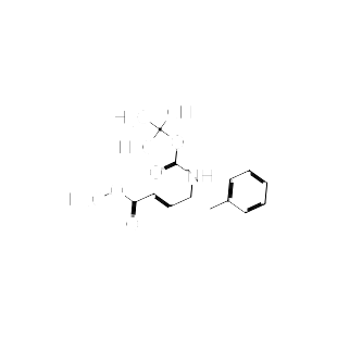 COC(=O)/C=C/[C@@H](Cc1ccccc1)NC(=O)OC(C)(C)C